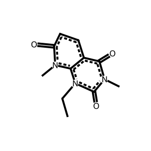 CCn1c(=O)n(C)c(=O)c2ccc(=O)n(C)c21